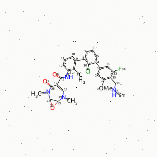 COc1cc(-c2cccc(-c3cccc(NC(=O)C4=CN(C)C5OC5N(C)C4=O)c3C)c2Cl)cc(F)c1CNC(C)C